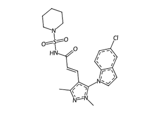 Cc1nn(C)c(-n2ccc3cc(Cl)ccc32)c1C=CC(=O)NS(=O)(=O)N1CCCCC1